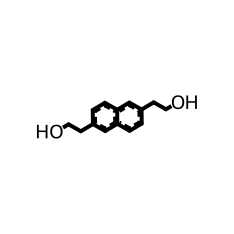 OCCc1ccc2cc(CCO)ccc2c1